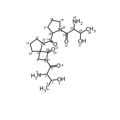 CC(O)C(N)C(=O)N1CC2(CCCN2C(=O)C2CCCN2C(=O)C(N)C(C)O)C1=O